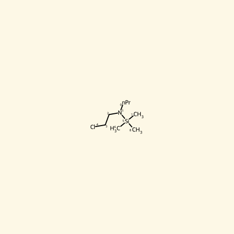 CCCN(CCCl)[Si](C)(C)C